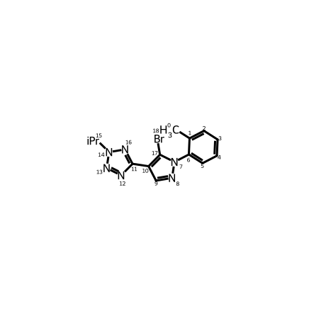 Cc1ccccc1-n1ncc(-c2nnn(C(C)C)n2)c1Br